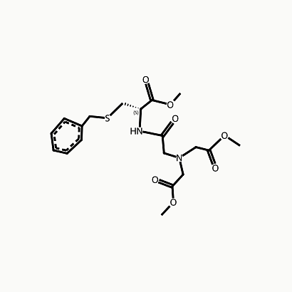 COC(=O)CN(CC(=O)N[C@H](CSCc1ccccc1)C(=O)OC)CC(=O)OC